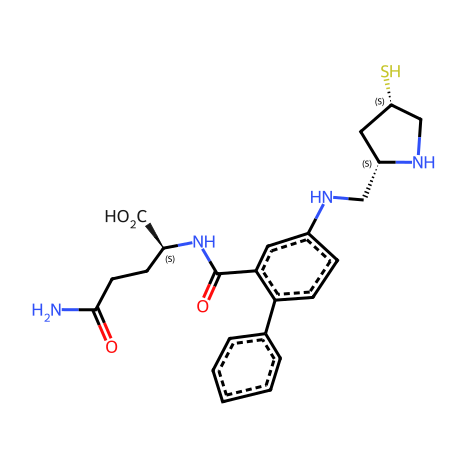 NC(=O)CC[C@H](NC(=O)c1cc(NC[C@@H]2C[C@H](S)CN2)ccc1-c1ccccc1)C(=O)O